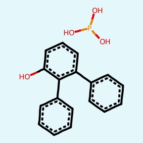 OP(O)O.Oc1cccc(-c2ccccc2)c1-c1ccccc1